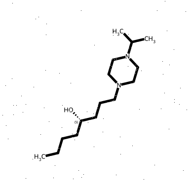 CCCC[C@H](O)CCCN1CCN(C(C)C)CC1